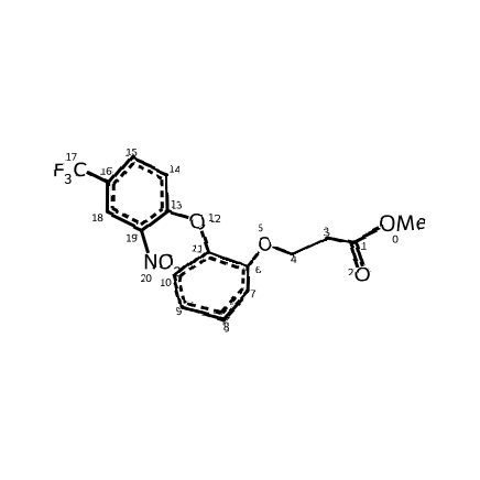 COC(=O)CCOc1ccccc1Oc1ccc(C(F)(F)F)cc1[N+](=O)[O-]